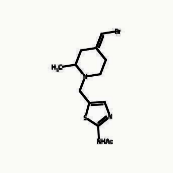 CC(=O)Nc1ncc(CN2CCC(=CBr)CC2C)s1